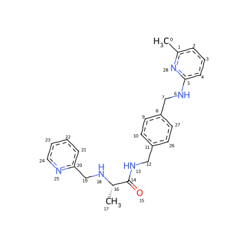 Cc1cccc(NCc2ccc(CNC(=O)[C@H](C)NCc3ccccn3)cc2)n1